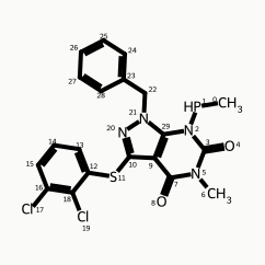 CPn1c(=O)n(C)c(=O)c2c(Sc3cccc(Cl)c3Cl)nn(Cc3ccccc3)c21